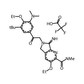 CCOc1cc2c(nc1C(=O)NC)C(=N)N(CC(=O)c1cc(N(C)C)c(OCC)c(C(C)(C)C)c1)C2.O=C(O)C(F)(F)F